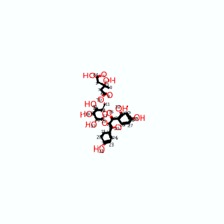 CC(O)(CC(=O)O)CC(=O)OC[C@H]1OC(Oc2c(-c3ccc(O)cc3)oc3cc(O)cc(O)c3c2=O)[C@H](O)[C@@H](O)[C@@H]1O